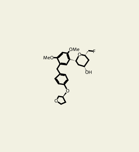 COc1cc(OC)c([C@H]2C[C@@H](O)C[C@@H](CF)O2)cc1Cc1ccc(O[C@H]2CCOC2)cc1